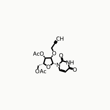 C#CCO[C@@H]1[C@H](OC(C)=O)[C@@H](COC(C)=O)O[C@H]1n1ccc(=O)[nH]c1=O